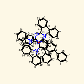 c1ccc(-c2ccc(-c3nc(-c4ccccc4-c4ccccc4)nc(-n4c5ccccc5c5ccc6c7ccccc7n(-c7c(-c8ccccc8)cccc7-c7ccccc7)c6c54)n3)cc2)cc1